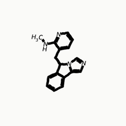 CNc1ncccc1CC1c2ccccc2-c2cncn21